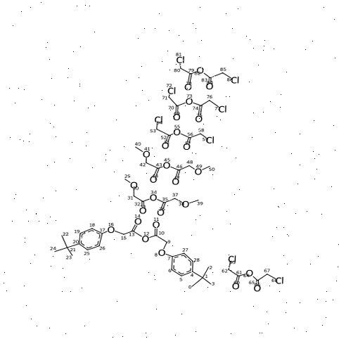 CC(C)(C)c1ccc(OCC(=O)OC(=O)COc2ccc(C(C)(C)C)cc2)cc1.COCC(=O)OC(=O)COC.COCC(=O)OC(=O)COC.O=C(CCl)OC(=O)CCl.O=C(CCl)OC(=O)CCl.O=C(CCl)OC(=O)CCl.O=C(CCl)OC(=O)CCl